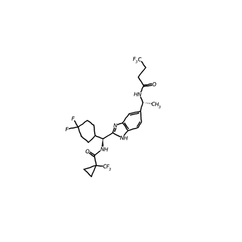 C[C@@H](NC(=O)CCC(F)(F)F)c1ccc2[nH]c([C@@H](NC(=O)C3(C(F)(F)F)CC3)C3CCC(F)(F)CC3)nc2c1